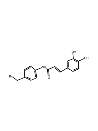 O=C(C=Cc1ccc(O)c(O)c1)Nc1ccc(CBr)cc1